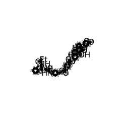 CCC(=O)N[C@@H](Cc1ccccc1)C(=O)NCC(=O)Nc1ccc(COC(=O)N2CCN(C(=O)O[C@H]3CC[C@@]4(C)[C@H](CC[C@@H]5[C@@H]4[C@H](O)C(=O)[C@]4(C)[C@@H](c6ccc(=O)oc6)CC[C@]54O)C3)CC2)cc1